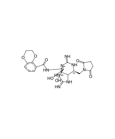 N=C1NC2[C@H](CN3C(=O)CCC3=O)NC(=N)N3CC(NC(=O)c4cccc5c4OCCO5)C(O)(O)[C@@]23N1